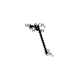 CCc1cc(NCCCCCCCCCCCCCCCC(=O)OC)ccc1C(=O)NCC(=O)O